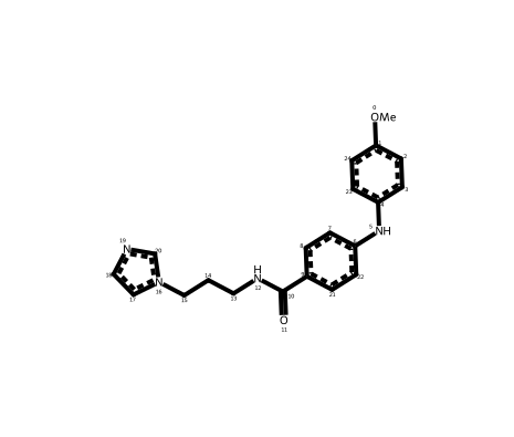 COc1ccc(Nc2ccc(C(=O)NCCCn3ccnc3)cc2)cc1